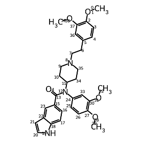 COc1ccc(CCN2CCC(N(C(=O)c3ccc4[nH]ccc4c3)c3ccc(OC)c(OC)c3)CC2)cc1OC